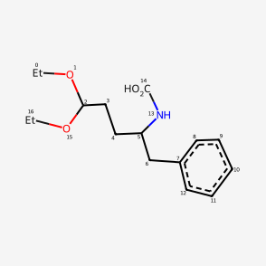 CCOC(CCC(Cc1ccccc1)NC(=O)O)OCC